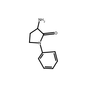 NC1CCN(c2ccccc2)C1=O